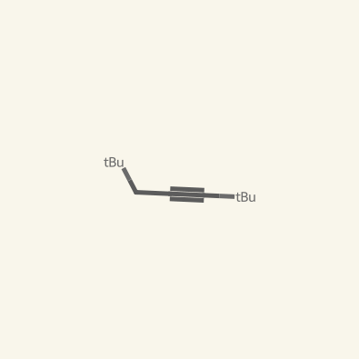 CC(C)(C)C#CCC(C)(C)C